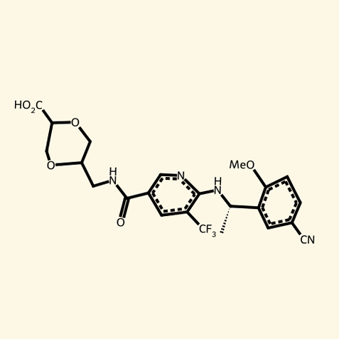 COc1ccc(C#N)cc1[C@H](C)Nc1ncc(C(=O)NCC2COC(C(=O)O)CO2)cc1C(F)(F)F